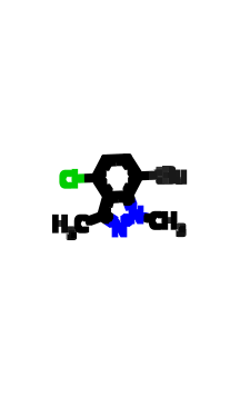 Cc1nn(C)c2c(C(C)(C)C)ccc(Cl)c12